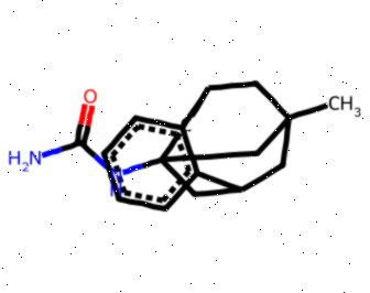 CC12CC3CC(NC(N)=O)(CC(C1)c1ccccc13)C2